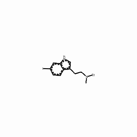 CCN(C)CCc1c[nH]c2cc(I)ccc12